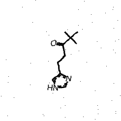 CC(C)(C)C(=O)CCc1c[nH]cn1